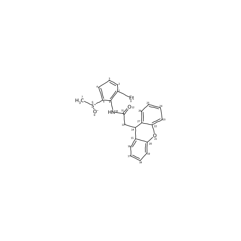 CCc1cccc([S+](C)[O-])c1NC(=O)CC1c2ccccc2Oc2ccccc21